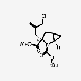 C=C(CCl)C[C@]1(C(=O)OC)CC2C[C@H]2N1C(=O)OC(C)(C)C